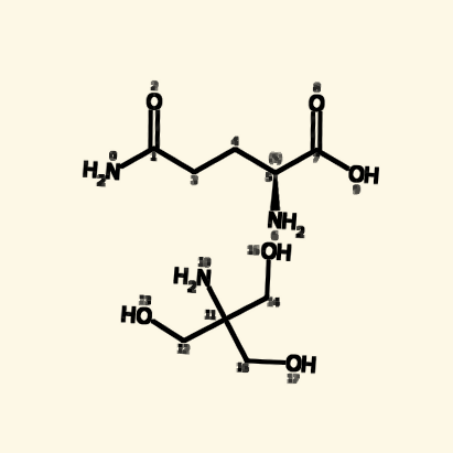 NC(=O)CC[C@H](N)C(=O)O.NC(CO)(CO)CO